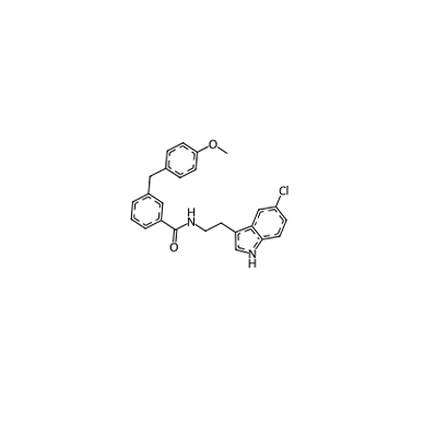 COc1ccc(Cc2cccc(C(=O)NCCc3c[nH]c4ccc(Cl)cc34)c2)cc1